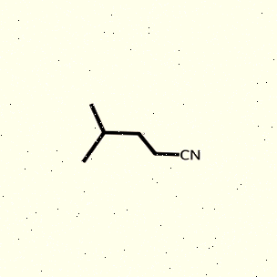 CC(C)[CH]CC#N